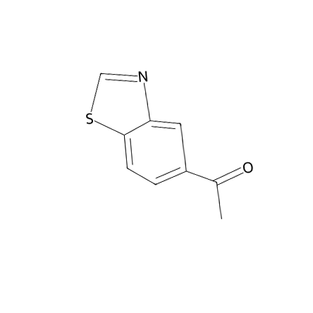 CC(=O)c1ccc2scnc2c1